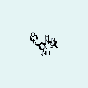 CNc1cc(CN2CCOCC2)cc(Nc2ncc(C)s2)n1